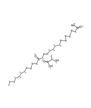 CC(O)C(=O)O.CCCCCCCCCCCC(=O)CCCCCCCCCCCCC[C](=O)[Na]